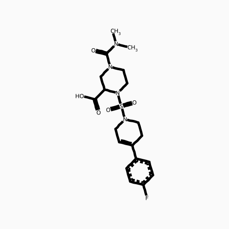 CN(C)C(=O)N1CCN(S(=O)(=O)N2CC=C(c3ccc(F)cc3)CC2)C(C(=O)O)C1